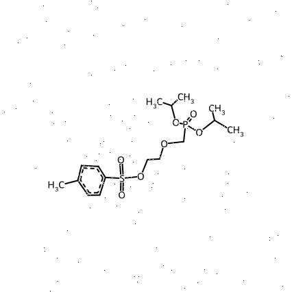 Cc1ccc(S(=O)(=O)OCCOCP(=O)(OC(C)C)OC(C)C)cc1